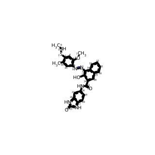 CNSc1cc(OC)c(/N=N/c2c(O)c(C(=O)Nc3ccc4[nH]c(=O)[nH]c4c3)cc3ccccc23)cc1C